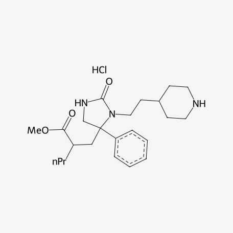 CCCC(CC1(c2ccccc2)CNC(=O)N1CCC1CCNCC1)C(=O)OC.Cl